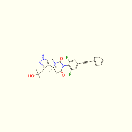 CN1C(=O)N(c2c(F)cc(C#Cc3ccccc3)cc2F)C(=O)C[C@@]1(C)c1c[nH]nc1CC(C)(C)O